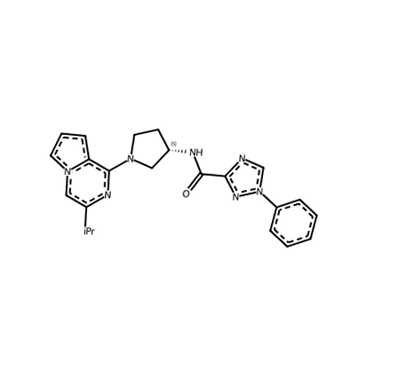 CC(C)c1cn2cccc2c(N2CC[C@H](NC(=O)c3ncn(-c4ccccc4)n3)C2)n1